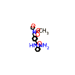 COC(=O)N(Cc1ccc(C(=O)Nc2ccccc2N)cc1)C1CCOC1